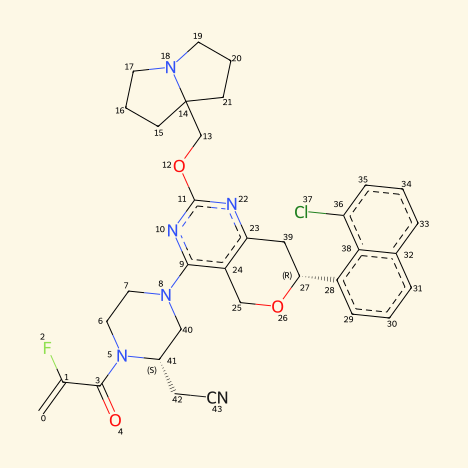 C=C(F)C(=O)N1CCN(c2nc(OCC34CCCN3CCC4)nc3c2CO[C@@H](c2cccc4cccc(Cl)c24)C3)C[C@@H]1CC#N